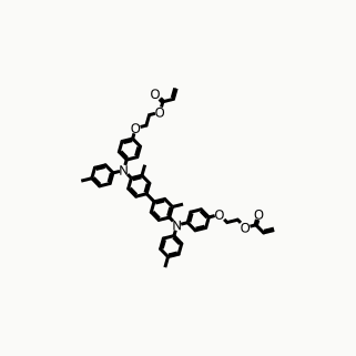 C=CC(=O)OCCOc1ccc(N(c2ccc(C)cc2)c2ccc(-c3ccc(N(c4ccc(C)cc4)c4ccc(OCCOC(=O)C=C)cc4)c(C)c3)cc2C)cc1